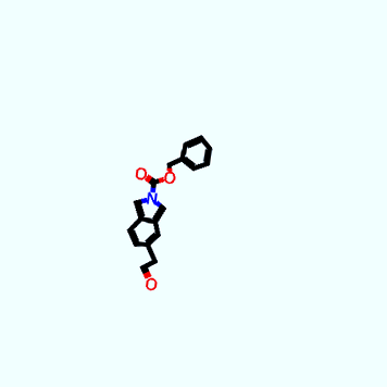 O=CCc1ccc2cn(C(=O)OCc3ccccc3)cc2c1